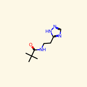 CC(C)(C)C(=O)NCCc1ncn[nH]1